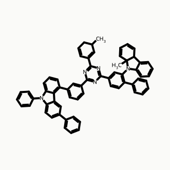 CC1C=C(c2nc(-c3cccc(-c4cccc5c4c4cc(-c6ccccc6)ccc4n5-c4ccccc4)c3)nc(-c3ccc(-c4ccccc4)c(N4c5ccccc5C5C=CC=CC54C)c3)n2)C=CC1